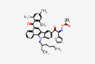 CCCCC(CC)Cn1c2ccc(C(=O)/C(=N\OC(C)=O)c3cccs3)cc2c2cc(C(=O)c3c(C)cc(C)cc3C)c3ccccc3c21